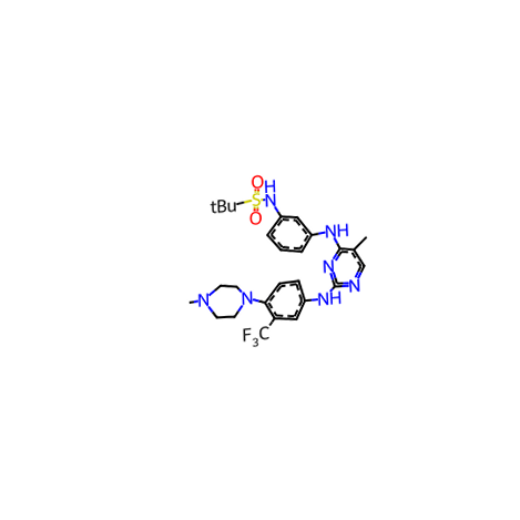 Cc1cnc(Nc2ccc(N3CCN(C)CC3)c(C(F)(F)F)c2)nc1Nc1cccc(NS(=O)(=O)C(C)(C)C)c1